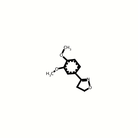 COc1ccc(C2=NO[CH]C2)cc1OC